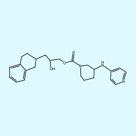 O=C(OCC(O)CN1CCc2ccccc2C1)N1CCCC(Nc2ccncc2)C1